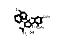 COc1cc(OC)c2c(c1)O[C@@]1(c3ccc(Br)cc3)[C@H](c3ccccc3)[C@@H](C(N)=O)[C@@H](O)[C@@]21O